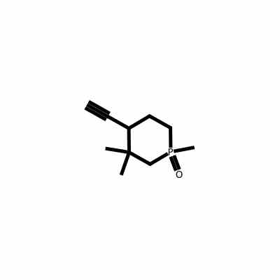 C#CC1CCP(C)(=O)CC1(C)C